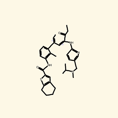 C/C=C(\C=C(\Nc1ccc(CN(C)C(C)C)cn1)C(=O)CC)c1cccc(NC(=O)c2cc3c(s2)CCCC3)c1C